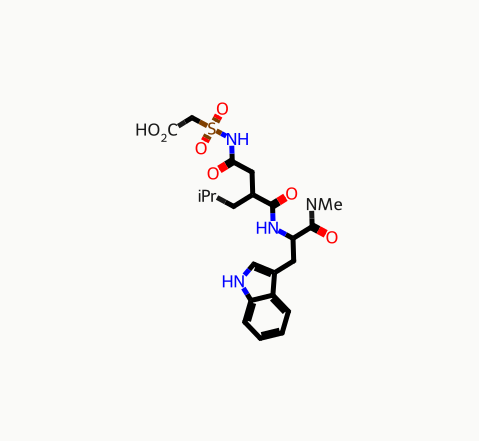 CNC(=O)C(Cc1c[nH]c2ccccc12)NC(=O)C(CC(=O)NS(=O)(=O)CC(=O)O)CC(C)C